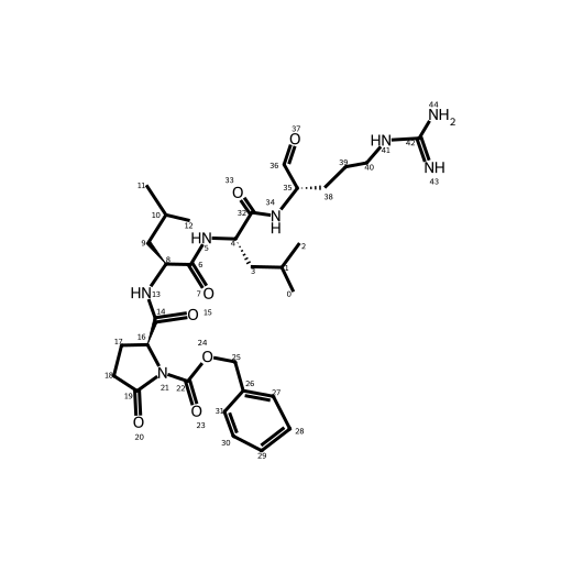 CC(C)C[C@H](NC(=O)[C@H](CC(C)C)NC(=O)[C@@H]1CCC(=O)N1C(=O)OCc1ccccc1)C(=O)N[C@H](C=O)CCCNC(=N)N